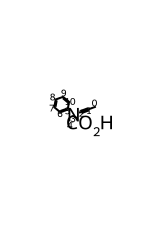 CC#CN(C(=O)O)c1ccccc1